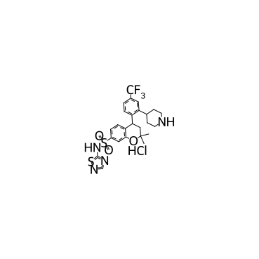 CC1(C)CC(c2ccc(C(F)(F)F)cc2C2CCNCC2)c2ccc(S(=O)(=O)Nc3ncns3)cc2O1.Cl